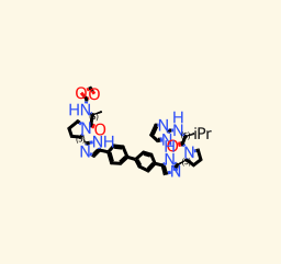 CC(C)[C@H](Nc1ncccn1)C(=O)N1CCC[C@H]1c1ncc(-c2ccc(-c3ccc(-c4cnc([C@@H]5CCCN5C(=O)[C@H](C)NC5OCO5)[nH]4)cc3)cc2)[nH]1